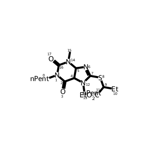 CCCCCN1C(=O)C2C(N=C(SC(CC)C(=O)OCC)N2CCCCC)N(C)C1=O